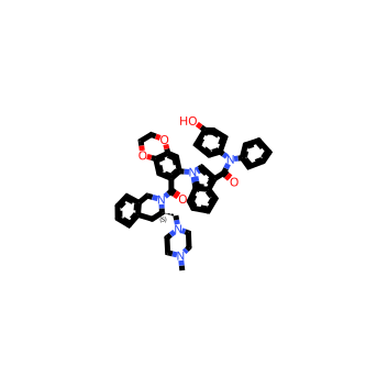 CN1CCN(C[C@@H]2Cc3ccccc3CN2C(=O)c2cc3c(cc2-n2cc(C(=O)N(c4ccccc4)c4ccc(O)cc4)c4ccccc42)OCCO3)CC1